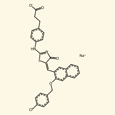 O=C([O-])CCc1ccc(NC2=NC(=O)C(=Cc3cc4ccccc4cc3OCc3ccc(Cl)cc3)S2)cc1.[Na+]